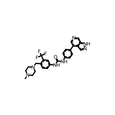 CN1CCN(Cc2ccc(NC(=O)Nc3ccc(-c4cncc5[nH]ncc45)cc3)cc2C(F)(F)F)CC1